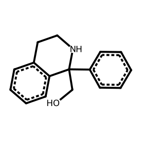 OCC1(c2ccccc2)NCCc2ccccc21